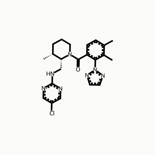 Cc1ccc(C(=O)N2CCC[C@@H](C)[C@H]2CNc2ncc(Cl)cn2)c(-n2nccn2)c1C